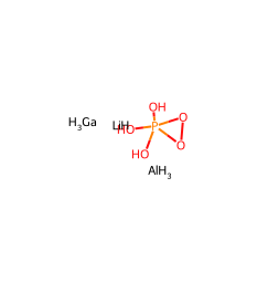 OP1(O)(O)OO1.[AlH3].[GaH3].[LiH]